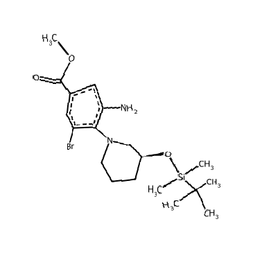 COC(=O)c1cc(N)c(N2CCC[C@H](O[Si](C)(C)C(C)(C)C)C2)c(Br)c1